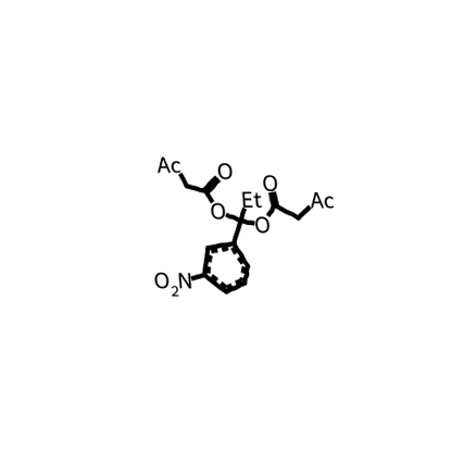 CCC(OC(=O)CC(C)=O)(OC(=O)CC(C)=O)c1cccc([N+](=O)[O-])c1